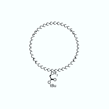 C1CCCCCCCCCCCCCCCCCCCCCCCCCCCCCCCCCCCCCCCC1.C=CC(=O)OC(C)(C)C